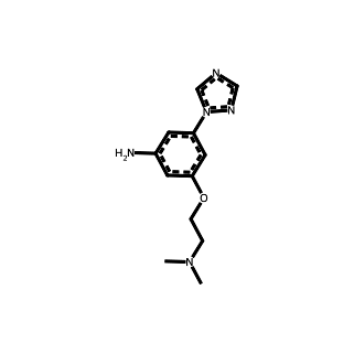 CN(C)CCOc1cc(N)cc(-n2cncn2)c1